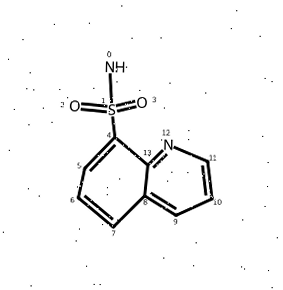 [NH]S(=O)(=O)c1cccc2cccnc12